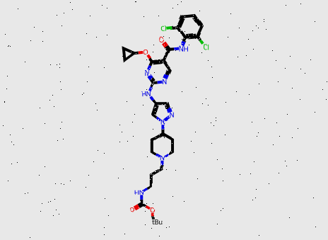 CC(C)(C)OC(=O)NCCCN1CCC(n2cc(Nc3ncc(C(=O)Nc4c(Cl)cccc4Cl)c(OC4CC4)n3)cn2)CC1